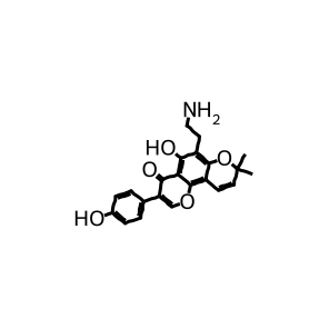 CC1(C)C=Cc2c(c(CCN)c(O)c3c(=O)c(-c4ccc(O)cc4)coc23)O1